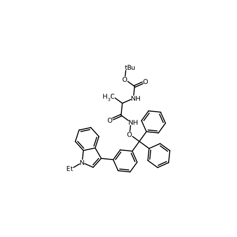 CCn1cc(-c2cccc(C(ONC(=O)C(C)NC(=O)OC(C)(C)C)(c3ccccc3)c3ccccc3)c2)c2ccccc21